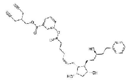 C#CCC(CC#C)COC(=O)c1cccc(OC(=O)CCC/C=C\C[C@@H]2[C@@H](CC[C@@H](O)CCc3ccccc3)[C@H](O)C[C@@H]2O)c1